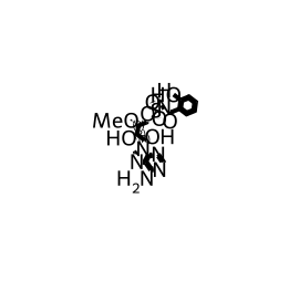 CO[C@H](COS(=O)(=O)NC(=O)c1ccccc1O)[C@@H](O)[C@@H](O)n1cnc2c(N)ncnc21